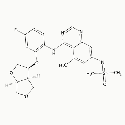 Cc1cc(N=S(C)(C)=O)cc2ncnc(Nc3ccc(F)cc3O[C@@H]3CO[C@@H]4COC[C@@H]43)c12